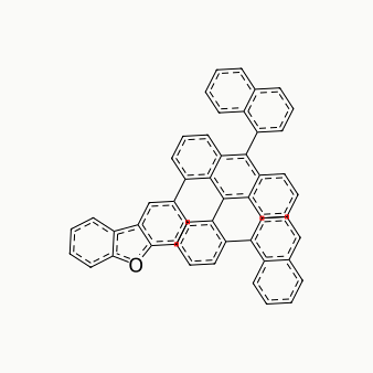 c1ccc(-c2c3ccccc3c(-c3cccc4ccccc34)c3cccc(-c4ccc5oc6ccccc6c5c4)c23)c(-c2cccc3ccccc23)c1